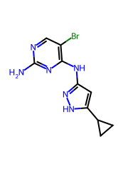 Nc1ncc(Br)c(Nc2cc(C3CC3)[nH]n2)n1